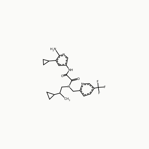 CC(CN(Cc1ccc(C(F)(F)F)cn1)C(=O)C(=O)Nc1cnc(N)c(C2CC2)c1)C1CC1